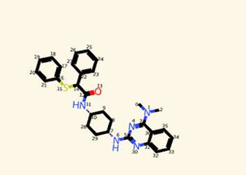 CN(C)c1nc(N[C@H]2CC[C@@H](NC(=O)C(Sc3ccccc3)c3ccccc3)CC2)nc2ccccc12